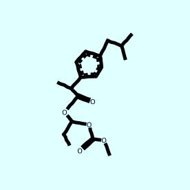 CCC(OC(=O)OC)OC(=O)C(C)c1ccc(CC(C)C)cc1